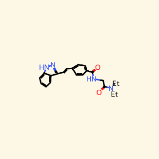 CCN(CC)C(=O)CNC(=O)c1ccc(C=Cc2n[nH]c3ccccc23)cc1